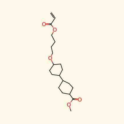 C=CC(=O)OCCCCOC1CCC(C2CCC(C(=O)OC)CC2)CC1